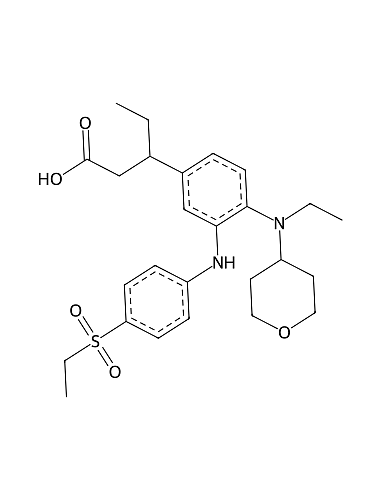 CCC(CC(=O)O)c1ccc(N(CC)C2CCOCC2)c(Nc2ccc(S(=O)(=O)CC)cc2)c1